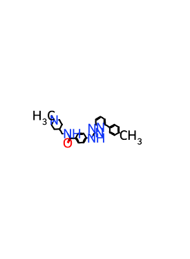 Cc1ccc(-c2cccc3nc(Nc4ccc(C(=O)NCC5CCN(C)CC5)cc4)nn23)cc1